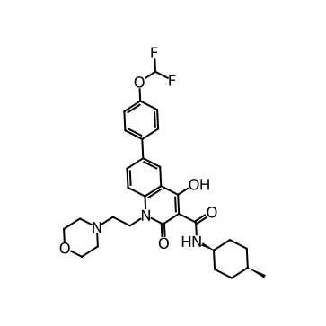 C[C@H]1CC[C@@H](NC(=O)c2c(O)c3cc(-c4ccc(OC(F)F)cc4)ccc3n(CCN3CCOCC3)c2=O)CC1